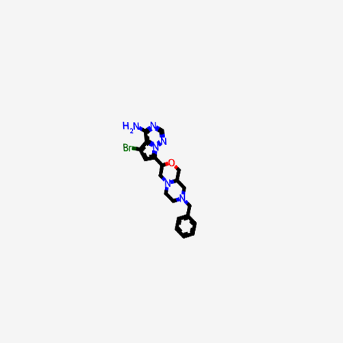 Nc1ncnn2c(C3CN4CCN(Cc5ccccc5)CC4CO3)cc(Br)c12